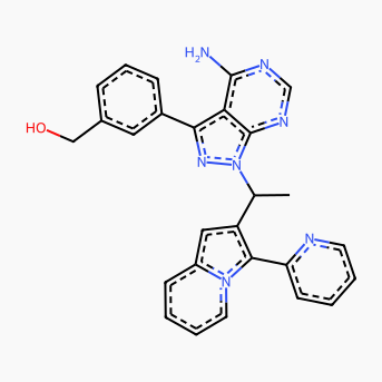 CC(c1cc2ccccn2c1-c1ccccn1)n1nc(-c2cccc(CO)c2)c2c(N)ncnc21